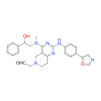 CN(CC(O)c1ccccc1)c1nc(Nc2ccc(-c3cnco3)cc2)nc2c1CN(CC=O)CC2